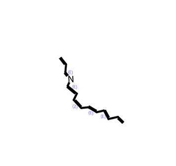 C=C/C=C/C=C/C=C\C=C\N=C\C=C